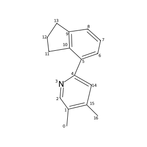 Cc1cnc(-c2cccc3c2CCC3)cc1C